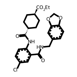 CCOC(=O)[C@H]1CC[C@H](C(=O)Nc2ccc(Cl)cc2C(=O)NCc2ccc3c(c2)OCO3)CC1